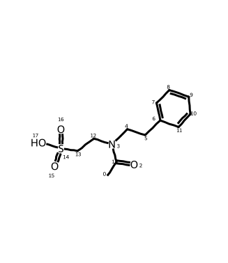 CC(=O)N(CCc1ccccc1)CCS(=O)(=O)O